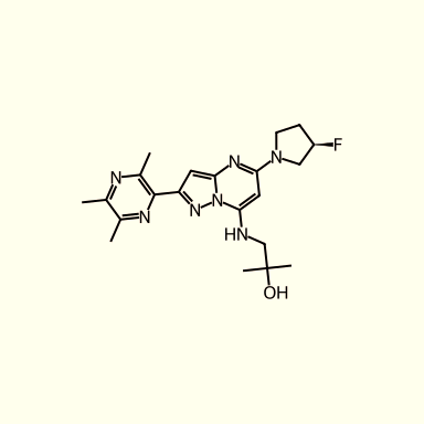 Cc1nc(C)c(-c2cc3nc(N4CC[C@@H](F)C4)cc(NCC(C)(C)O)n3n2)nc1C